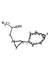 CC(O)CN1CC1c1ccccc1